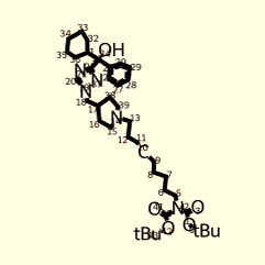 CC(C)(C)OC(=O)N(CCCCCCCCCN1CCC(Cn2cnc([C@](O)(c3ccccc3)C3CCCCC3)n2)CC1)C(=O)OC(C)(C)C